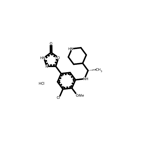 COc1c(Cl)cc(-c2n[nH]c(=O)o2)cc1N[C@@H](C)C1CCNCC1.Cl